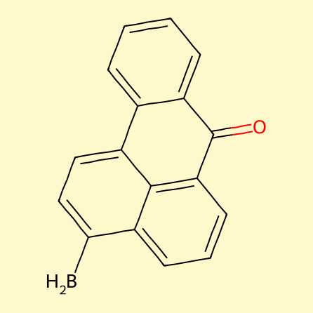 Bc1ccc2c3c(cccc13)C(=O)c1ccccc1-2